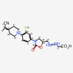 CC(C#N)=C1CCN(c2ccc(N3C[C@@H](CNNCC(=O)O)OC3=O)cc2F)CC1